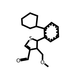 COCC1C(C=O)=CSC1c1ccccc1C1CCCCC1